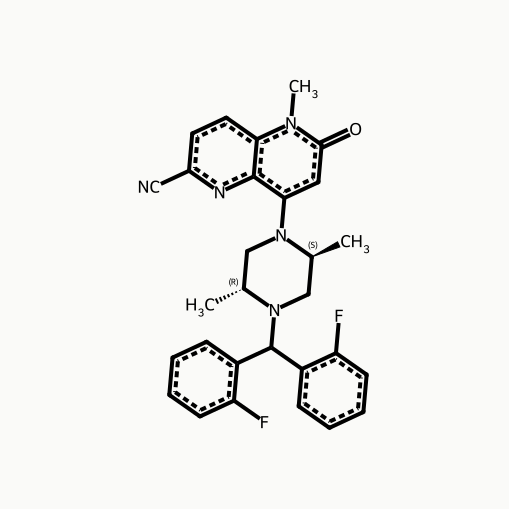 C[C@@H]1CN(c2cc(=O)n(C)c3ccc(C#N)nc23)[C@@H](C)CN1C(c1ccccc1F)c1ccccc1F